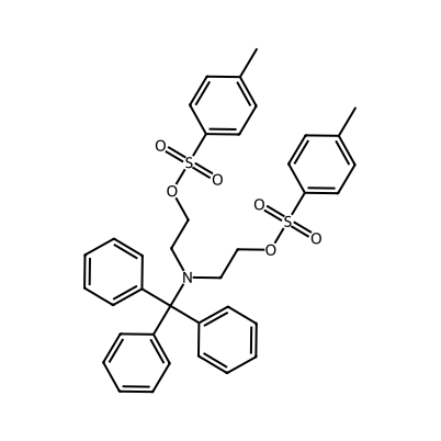 Cc1ccc(S(=O)(=O)OCCN(CCOS(=O)(=O)c2ccc(C)cc2)C(c2ccccc2)(c2ccccc2)c2ccccc2)cc1